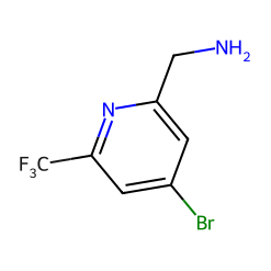 NCc1cc(Br)cc(C(F)(F)F)n1